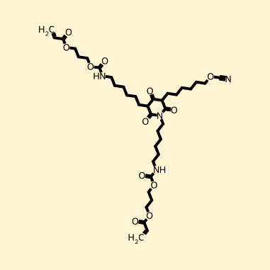 C=CC(=O)OCCCOC(=O)NCCCCCCC1C(=O)C(CCCCCCOC#N)C(=O)N(CCCCCCNC(=O)OCCCOC(=O)C=C)C1=O